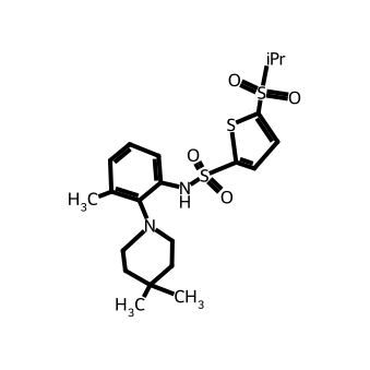 Cc1cccc(NS(=O)(=O)c2ccc(S(=O)(=O)C(C)C)s2)c1N1CCC(C)(C)CC1